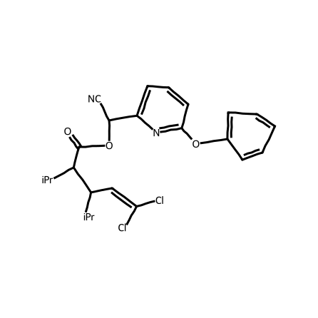 CC(C)C(C=C(Cl)Cl)C(C(=O)OC(C#N)c1cccc(Oc2ccccc2)n1)C(C)C